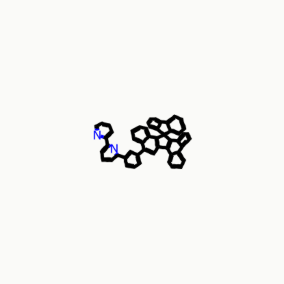 c1ccc(-c2cccc(-c3cccc(-c4cc5c(c6ccccc46)C4(c6ccccc6-c6ccccc64)c4c-5c5ccccc5c5ccccc45)c3)n2)nc1